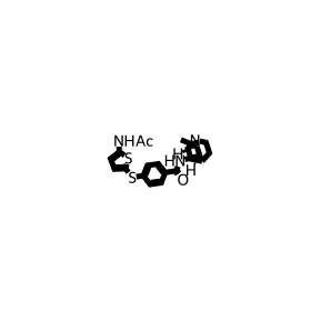 CC(=O)Nc1ccc(Sc2ccc(C(=O)N[C@@H]3C4CCN(CC4)[C@H]3C)cc2)s1